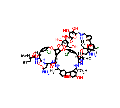 CN[C@H](CC(C)C)C(=O)NC1C(=O)NC(CC(N)=O)C(=O)N[C@H]2C(=O)NC(C)c3ccc(O)c(c3)-c3c(O)cc(O)cc3C(C(=O)O)NC(=O)[C@@H](NC=O)[C@H](OC3C[C@](C)(N)[C@@H](O)[C@H](C)O3)c3ccc(c(Cl)c3)Oc3cc2cc(c3O[C@@H]2O[C@H](CO)[C@@H](O[C@@H]3O[C@H](CNCc4ccc(-c5cccc(F)c5)s4)[C@H](O)[C@H](O)[C@H]3O)[C@H](O)[C@H]2O)Oc2ccc(cc2Cl)[C@H]1O